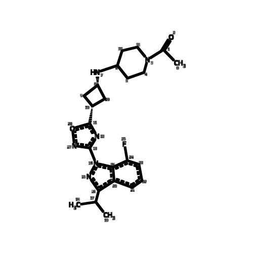 CC(=O)N1CCC(N[C@H]2C[C@@H](c3nc(-n4nc(C(C)C)c5cccc(F)c54)no3)C2)CC1